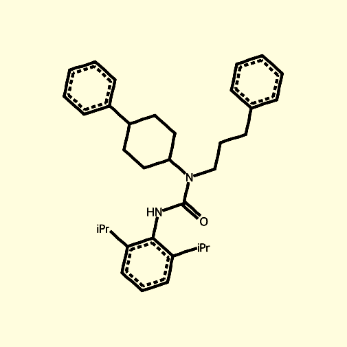 CC(C)c1cccc(C(C)C)c1NC(=O)N(CCCc1ccccc1)C1CCC(c2ccccc2)CC1